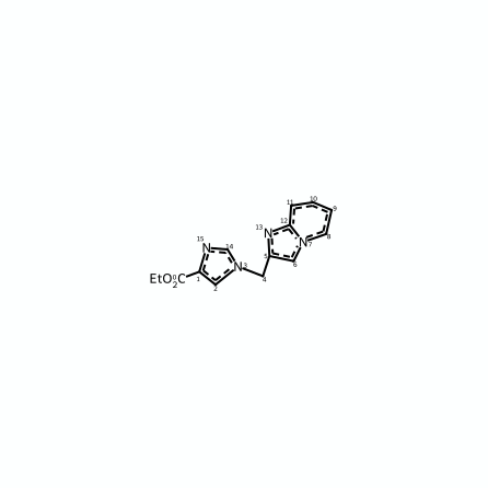 CCOC(=O)c1cn(Cc2cn3ccccc3n2)cn1